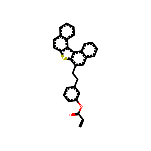 C=CC(=O)Oc1cccc(CCc2cc3ccccc3c3c2sc2ccc4ccccc4c23)c1